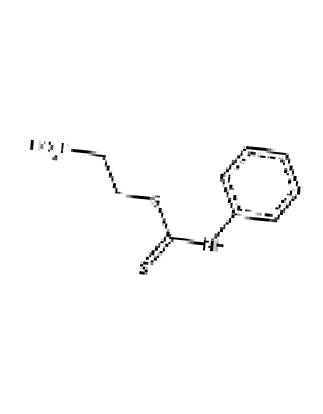 O=C(O)CCSC(=S)Nc1ccccc1